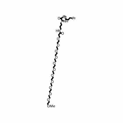 COCCOCCOCCOCCOCCOCCOCCOCCOCCOCCOCCOCCC(=O)NCCCC[C@@H](NC(=O)CCC(C)C)C(=O)C(C)C